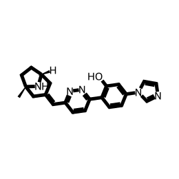 C[C@]12CC[C@H](C/C(=C\c3ccc(-c4ccc(-n5ccnc5)cc4O)nn3)C1)N2